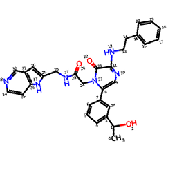 CC(O)c1cccc(-c2cnc(NCCc3ccccc3)c(=O)n2CC(=O)NCc2cc3cnccc3[nH]2)c1